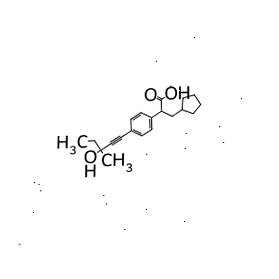 CCC(C)(O)C#Cc1ccc(C(CC2CCCC2)C(=O)O)cc1